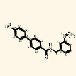 C=Nc1cccc(CNC(=O)c2ccc(-c3ccc(O)cc3)cc2)c1